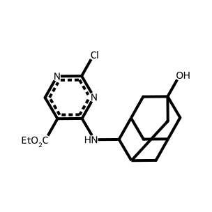 CCOC(=O)c1cnc(Cl)nc1NC1C2CC3CC1CC(O)(C3)C2